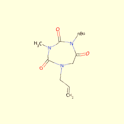 C=CCN1CC(=O)N(CCCC)C(=O)N(C)C1=O